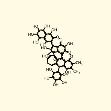 Cc1c(C)c2ooc3c(O)c4ooc5c(O)c6c(O)c(O)c(O)c(O)c6c(O)c5c5c(O)c(O)c(O)c(c45)c3c3c4c(c(-c5c(O)c(O)c(O)c(O)c5O)c(c1O)c23)=CCC=CC=4